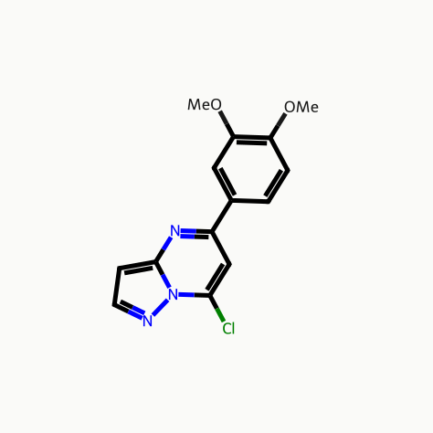 COc1ccc(-c2cc(Cl)n3nccc3n2)cc1OC